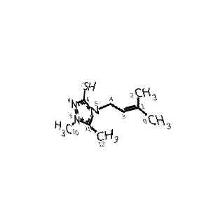 CC(C)=CCn1c(S)n[n+](C)c1C